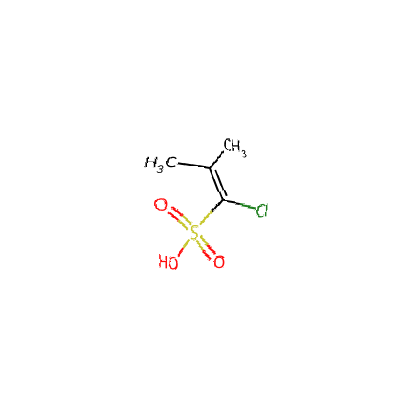 CC(C)=C(Cl)S(=O)(=O)O